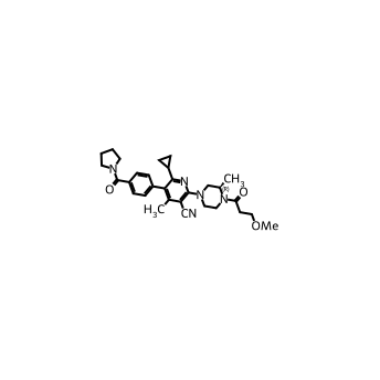 COCCC(=O)N1CCN(c2nc(C3CC3)c(-c3ccc(C(=O)N4CCCC4)cc3)c(C)c2C#N)C[C@H]1C